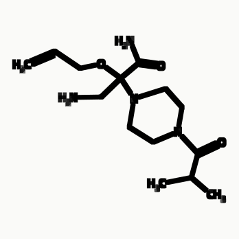 C=CCOC(CN)(C(N)=O)N1CCN(C(=O)C(C)C)CC1